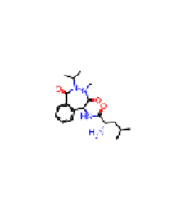 CC(C)C[C@H](N)C(=O)NC1C(=O)N(C)N(C(C)C)C(=O)c2ccccc21